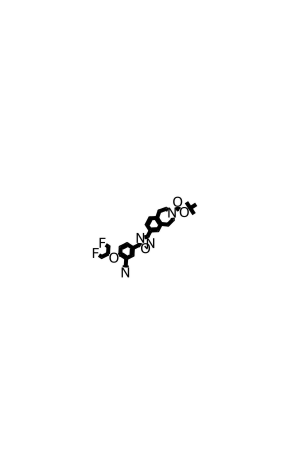 CC(C)(C)OC(=O)N1CCc2ccc(-c3noc(-c4ccc(OC(CF)CF)c(C#N)c4)n3)cc2CC1